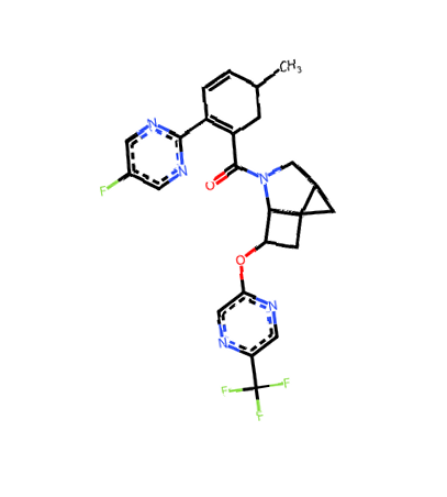 CC1C=CC(c2ncc(F)cn2)=C(C(=O)N2CC3CC34CC(Oc3cnc(C(F)(F)F)cn3)C24)C1